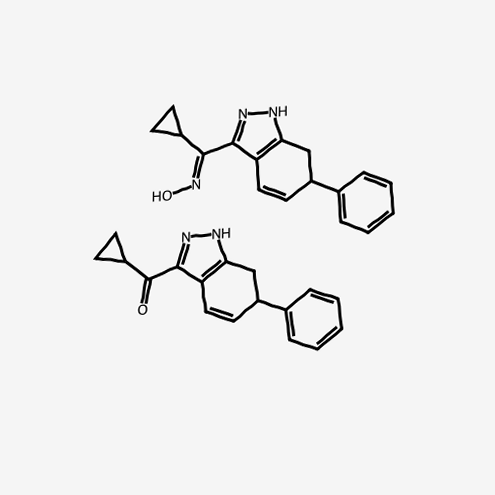 O=C(c1n[nH]c2c1C=CC(c1ccccc1)C2)C1CC1.ON=C(c1n[nH]c2c1C=CC(c1ccccc1)C2)C1CC1